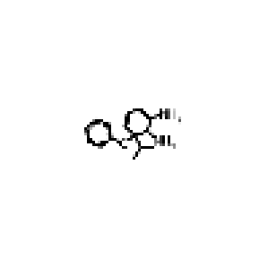 CC(C)C1(Oc2ccccc2)C=CC=C(N)C1N